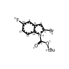 CC(C)(C)OC(=O)n1c(Br)cc2cc(F)ccc21